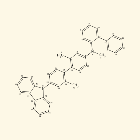 Cc1cc(N(C)c2ccccc2-c2ccccc2)ccc1-c1ccc(-n2c3ccccc3c3ccccc32)cc1C